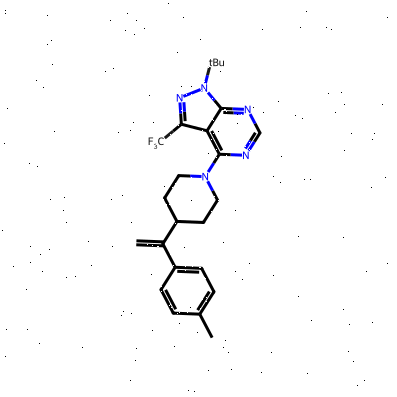 C=C(c1ccc(C)cc1)C1CCN(c2ncnc3c2c(C(F)(F)F)nn3C(C)(C)C)CC1